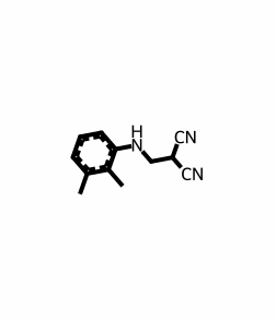 Cc1cccc(NCC(C#N)C#N)c1C